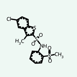 Cc1c(S(=O)(=O)Nc2ccccc2S(C)(=O)=O)sc2ccc(Cl)cc12